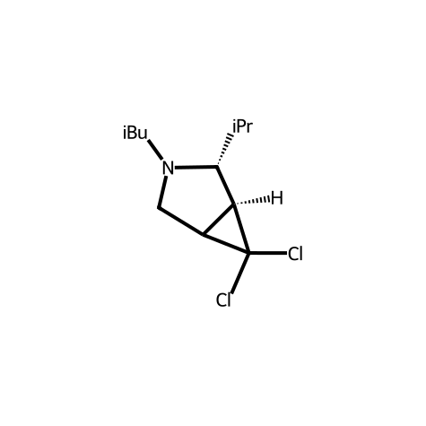 CCC(C)N1CC2[C@@H]([C@H]1C(C)C)C2(Cl)Cl